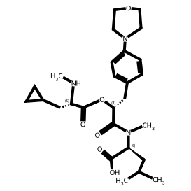 CN[C@@H](CC1CC1)C(=O)O[C@H](Cc1ccc(N2CCOCC2)cc1)C(=O)N(C)[C@@H](CC(C)C)C(=O)O